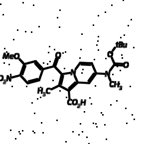 COc1cc(C(=O)c2c(C)c(C(=O)O)c3cc(N(C)C(=O)OC(C)(C)C)ccn23)ccc1[N+](=O)[O-]